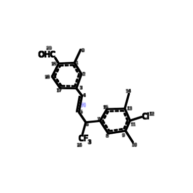 Cc1cc(/C=C/C(c2cc(C)c(Cl)c(C)c2)C(F)(F)F)ccc1C=O